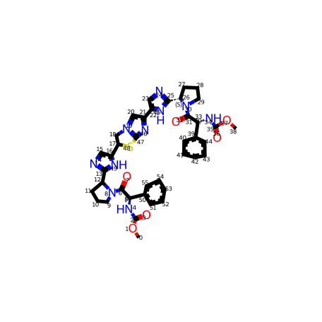 COC(=O)N[C@@H](C(=O)N1CCCC1c1ncc(C2Cn3cc(-c4cnc([C@@H]5CCCN5C(=O)[C@H](NC(=O)OC)c5ccccc5)[nH]4)nc3S2)[nH]1)c1ccccc1